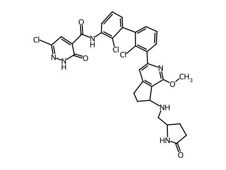 COc1nc(-c2cccc(-c3cccc(NC(=O)c4cc(Cl)n[nH]c4=O)c3Cl)c2Cl)cc2c1C(NCC1CCC(=O)N1)CC2